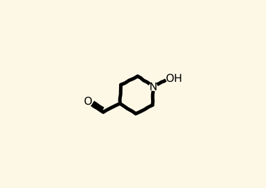 O=CC1CCN(O)CC1